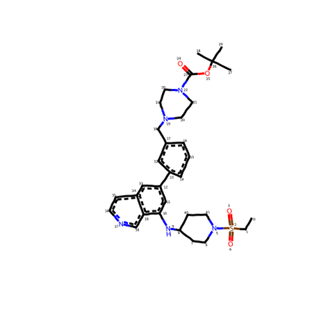 CCS(=O)(=O)N1CCC(Nc2cc(-c3cccc(CN4CCN(C(=O)OC(C)(C)C)CC4)c3)cc3ccncc23)CC1